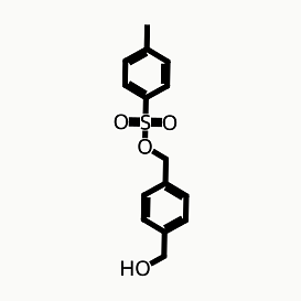 Cc1ccc(S(=O)(=O)OCc2ccc(CO)cc2)cc1